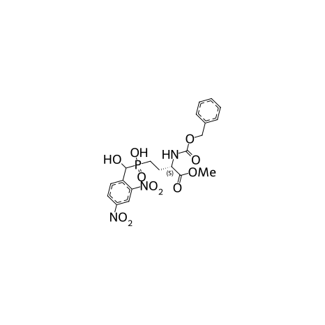 COC(=O)[C@H](CCP(=O)(O)C(O)c1ccc([N+](=O)[O-])cc1[N+](=O)[O-])NC(=O)OCc1ccccc1